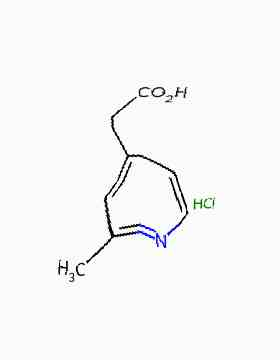 Cc1cc(CC(=O)O)ccn1.Cl